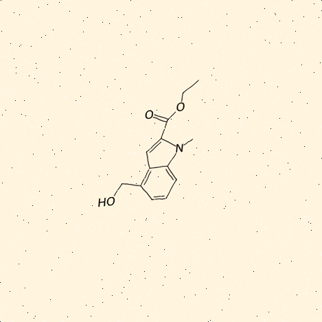 CCOC(=O)c1cc2c(CO)cccc2n1C